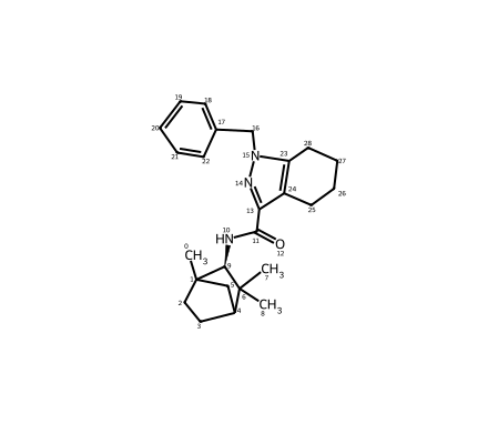 CC12CCC(C1)C(C)(C)[C@@H]2NC(=O)c1nn(Cc2ccccc2)c2c1CCCC2